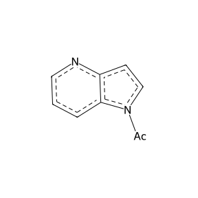 CC(=O)n1ccc2ncccc21